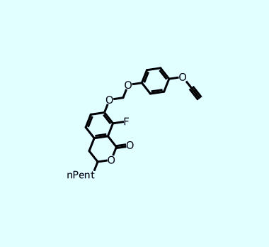 C#COc1ccc(OCOc2ccc3c(c2F)C(=O)OC(CCCCC)C3)cc1